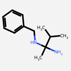 CC(C)C(C)(N)NCc1ccccc1